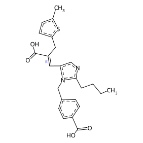 CCCCc1ncc(/C=C(\Cc2ccc(C)s2)C(=O)O)n1Cc1ccc(C(=O)O)cc1